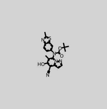 Cc1nc2ccc(N(C(=O)OC(C)(C)C)c3c(C)c(O)c(C#N)c4ccnn34)cc2s1